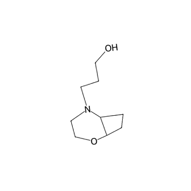 OCCCN1CCOC2CCC21